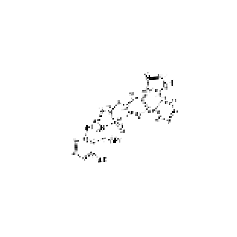 CCCC(c1c(CC)cccc1CC)n1ccn(Cc2ccc(-c3ccccc3-c3nnn[nH]3)cc2)c1=O